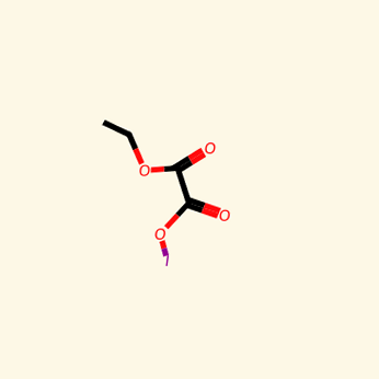 CCOC(=O)C(=O)OI